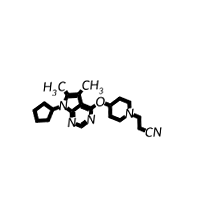 Cc1c(C)n(C2CCCC2)c2ncnc(OC3CCN(CCC#N)CC3)c12